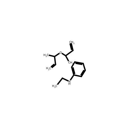 C=CC(C)OC(C)C=C.CCNc1ccccc1